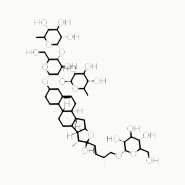 CC1O[C@@H](O[C@@H]2C(CO)O[C@@H](OC3CC[C@@]4(C)C(=CC[C@H]5[C@@H]6CC7OC(O)(CC[C@@H](C)CO[C@@H]8OC(CO)[C@@H](O)C(O)[C@@H]8O)[C@@H](C)[C@@H]7[C@@]6(C)CC[C@@H]54)C3)[C@@H](O[C@@H]3OC(C)[C@H](O)C(O)[C@@H]3O)C2O)[C@@H](O)C(O)[C@H]1O